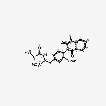 COc1cc(CC(NC(=O)OC(C)(C)C)C(=O)O)ccc1-n1c(=O)c2ccncc2n(C)c1=O